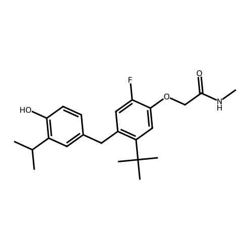 CNC(=O)COc1cc(C(C)(C)C)c(Cc2ccc(O)c(C(C)C)c2)cc1F